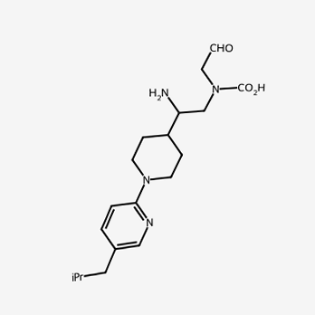 CC(C)Cc1ccc(N2CCC(C(N)CN(CC=O)C(=O)O)CC2)nc1